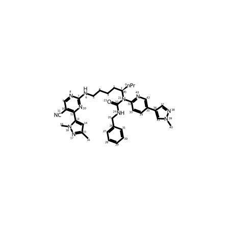 CCC[C@H](CCCCNc1ncc(C#N)c(-c2cc(C)nn2C)n1)N(C(=O)NCc1ccccc1)c1ccc(-c2cnn(C)c2)cn1